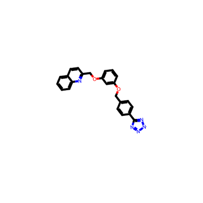 c1cc(OCc2ccc(C3=N[N]N=N3)cc2)cc(OCc2ccc3ccccc3n2)c1